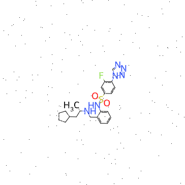 C[C@@H](CC1CCCC1)NCc1ccccc1NS(=O)(=O)c1ccc(-n2cnnn2)c(F)c1